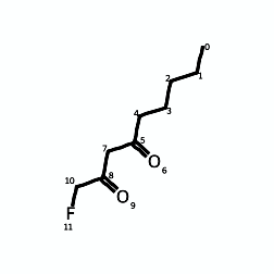 CCCCCC(=O)CC(=O)CF